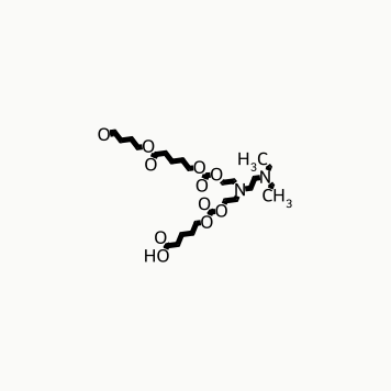 CCN(CC)CCN(CCOC(=O)OCCCCC(=O)O)CCOC(=O)OCCCCC(=O)OCCCC=O